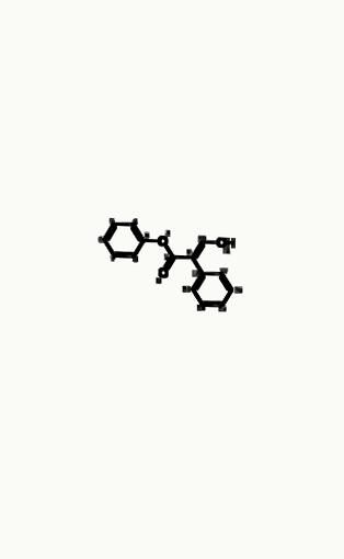 O=C(Oc1ccccc1)C(=CO)c1ccccc1